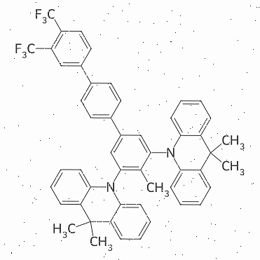 Cc1c(N2c3ccccc3C(C)(C)c3ccccc32)cc(-c2ccc(-c3ccc(C(F)(F)F)c(C(F)(F)F)c3)cc2)cc1N1c2ccccc2C(C)(C)c2ccccc21